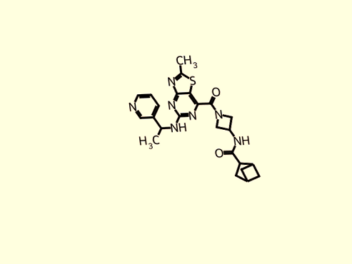 Cc1nc2nc(NC(C)c3cccnc3)nc(C(=O)N3CC(NC(=O)C4CC5CC4C5)C3)c2s1